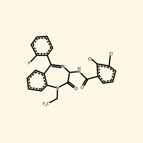 O=C(NC1N=C(c2ccccc2F)c2ccccc2N(CC(F)(F)F)C1=O)c1cccc(Cl)c1Cl